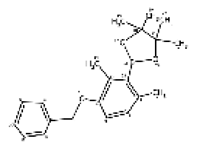 Cc1ccc(OCc2ccccc2)c(C)c1B1OC(C)(C)C(C)(C)O1